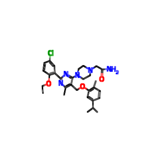 CCOc1ccc(Cl)cc1-c1nc(C)c(COc2cc(C(C)C)ccc2C)c(N2CCN(CC(N)=O)CC2)n1